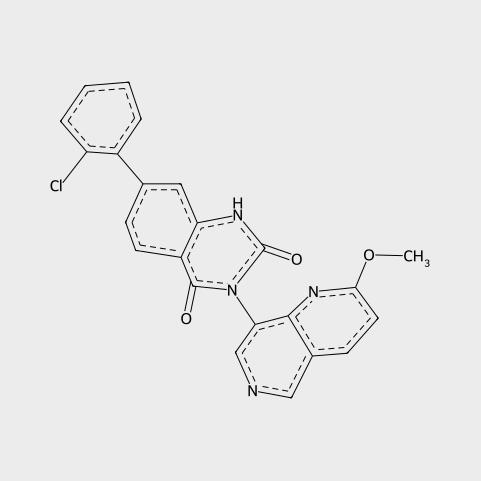 COc1ccc2cncc(-n3c(=O)[nH]c4cc(-c5ccccc5Cl)ccc4c3=O)c2n1